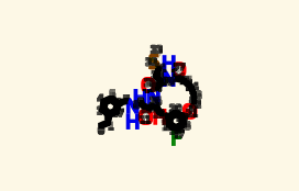 CCc1cccc(CNCC(O)C2Cc3cc(F)cc(c3)OCCCCC(=O)NC(CCSC)C(=O)N2)c1